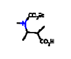 CCOC(=O)N(C)C(C)C(C)C(=O)O